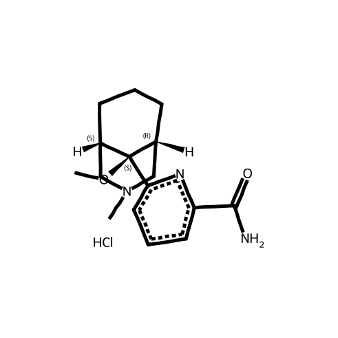 CO[C@]1(c2cccc(C(N)=O)n2)[C@@H]2CCC[C@H]1CN(C)C2.Cl